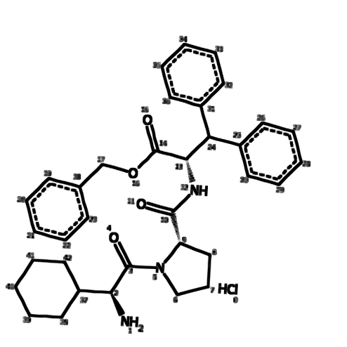 Cl.N[C@H](C(=O)N1CCC[C@H]1C(=O)N[C@H](C(=O)OCc1ccccc1)C(c1ccccc1)c1ccccc1)C1CCCCC1